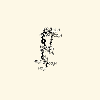 BNNC(=O)OCCSSC[C@H](NC(=O)[C@H](CC(=O)O)NC(=O)[C@H](CC(=O)O)NC(=O)Cc1ccc(CNC(=O)NCCCC[C@H](NC(=O)N[C@@H](CCC(=O)O)C(=O)O)C(=O)O)cc1)C(=O)O